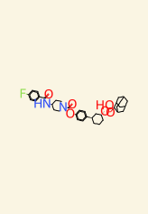 O=C(NC1CCN(C(=O)Oc2ccc([C@@H]3CCC[C@@H](OOC4(O)C5CC6CC(C5)CC4C6)C3)cc2)CC1)c1ccc(F)cc1